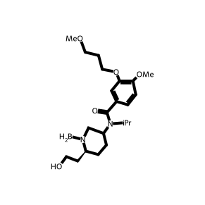 BN1CC(N(C(=O)c2ccc(OC)c(OCCCOC)c2)C(C)C)CC[C@H]1CCO